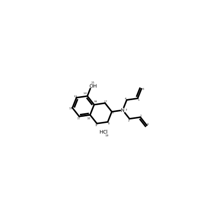 C=CCN(CC=C)C1CCc2cccc(O)c2C1.Cl